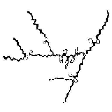 CCCCCCCCCCCOC(=O)CCCCCN(CCCCCCCC(=O)OC(CCCCCCCC)CCCCCCCC)CCNC(=O)CC(O)C(=O)NCCN(CCCCCCCC(=O)OC(CCCCCCCC)CCCCCCCC)CCCCCC(=O)OCCCCCCCCCCC